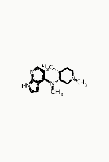 C[C@@H]1CCN(C)C[C@@H]1N(C)c1ccnc2[nH]ccc12